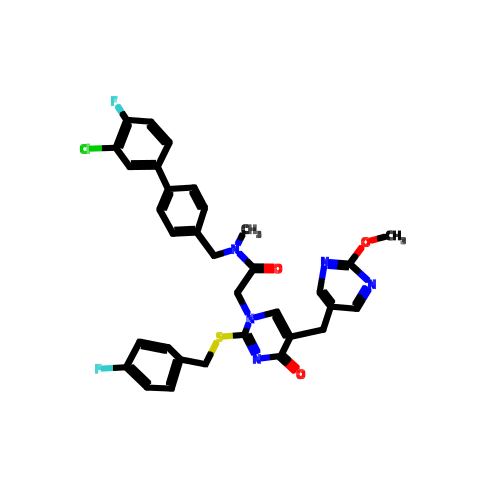 COc1ncc(Cc2cn(CC(=O)N(C)Cc3ccc(-c4ccc(F)c(Cl)c4)cc3)c(SCc3ccc(F)cc3)nc2=O)cn1